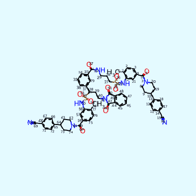 Cc1ccc(C(=O)N2CCC(c3ccc(C#N)cc3)CC2)cc1NS(=O)(=O)CCCNC(=O)c1cccc(C(CCN2C(=O)c3ccccc3C2=O)S(=O)(=O)Nc2cc(C(=O)N3CCC(c4ccc(C#N)cc4)CC3)ccc2C)c1